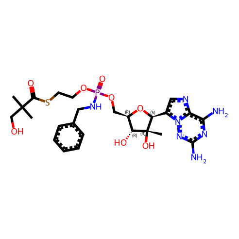 CC(C)(CO)C(=O)SCCOP(=O)(NCc1ccccc1)OC[C@H]1O[C@@H](c2cnc3c(N)nc(N)nn23)[C@](C)(O)[C@@H]1O